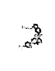 C=CC(N1CCN(c2ccc(C(F)(F)F)cn2)CC1(C)C)S(=O)(=O)c1ccc2c(c1)C(C(=O)O)CC2